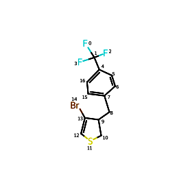 FC(F)(F)c1ccc(CC2CSC=C2Br)cc1